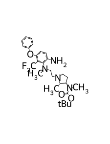 C[C@H]1[C@H](N(C)C(=O)OC(C)(C)C)CCN1CCN(C)c1c(N)ccc(Oc2ccccc2)c1C(F)(F)F